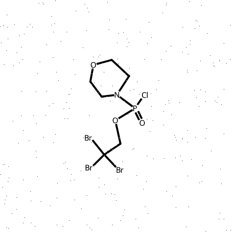 O=P(Cl)(OCC(Br)(Br)Br)N1CCOCC1